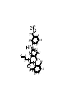 C=CCN1C(=O)N(c2c(C)cccc2C)Cc2cnc(Nc3cccc(COCC)c3)nc21